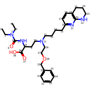 CCN(CC)C(=O)NC(CCN(CCCCc1ccc2c(n1)NCCC2)CCOCc1ccccc1)C(=O)O